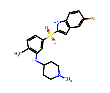 Cc1ccc(S(=O)(=O)c2cc3cc(Br)ccc3[nH]2)cc1NC1CCN(C)CC1